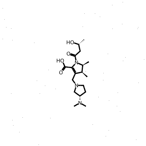 C[C@@H](O)CC(=O)N1C(C(=O)O)=C(CN2CC[C@H](N(C)C)C2)[C@H](C)[C@@H]1C